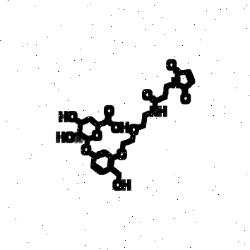 O=C(CCN1C(=O)C=CC1=O)NCCOCCOc1cc(OC2OC(C(=O)O)CC(O)[C@H]2O)ccc1CO